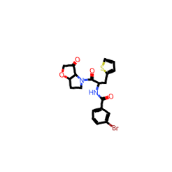 O=C(NC(Cc1cccs1)C(=O)N1CCC2OCC(=O)C21)c1cccc(Br)c1